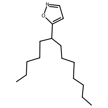 CCCCCCCC(CCCCC)c1ccno1